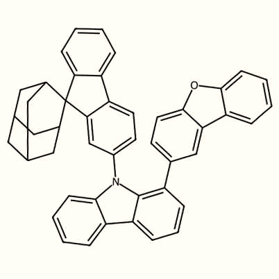 c1ccc2c(c1)-c1ccc(-n3c4ccccc4c4cccc(-c5ccc6oc7ccccc7c6c5)c43)cc1C21C2CC3CC(C2)CC1C3